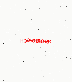 COCCOCCOCCOCCOCCOCCOCCOCCOCCOCCOCCOCCOc1ccc(CO)cc1